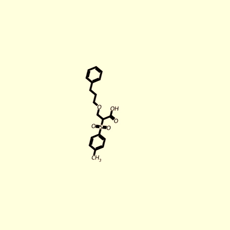 Cc1ccc(S(=O)(=O)C(COCCCc2ccccc2)C(=O)O)cc1